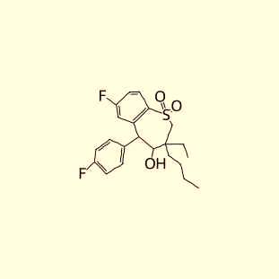 CCCCC1(CC)CS(=O)(=O)c2ccc(F)cc2C(c2ccc(F)cc2)C1O